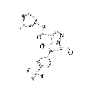 COC[C@@H]1CN(c2ccc(C(F)(F)F)cc2)C(=O)c2c(C(=O)Nc3ccnc(C)c3)cnn21